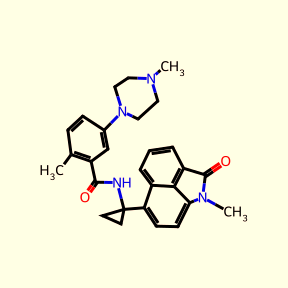 Cc1ccc(N2CCN(C)CC2)cc1C(=O)NC1(c2ccc3c4c(cccc24)C(=O)N3C)CC1